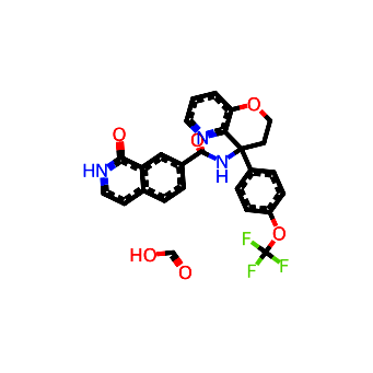 O=C(NC1(c2ccc(OC(F)(F)F)cc2)CCOc2cccnc21)c1ccc2cc[nH]c(=O)c2c1.O=CO